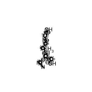 Cc1c(COc2cc(OCc3cncc(C#N)c3)c(CN3CCCCC3C(=O)O)cc2Cl)cccc1-c1ccc2oc(C3CCN(CC(=O)O)CC3)nc2c1